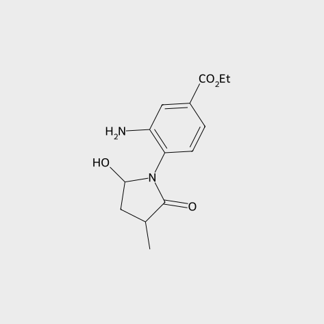 CCOC(=O)c1ccc(N2C(=O)C(C)CC2O)c(N)c1